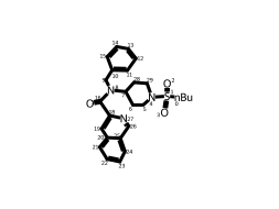 CCCCS(=O)(=O)N1CCC(N(Cc2ccccc2)C(=O)c2cc3ccccc3cn2)CC1